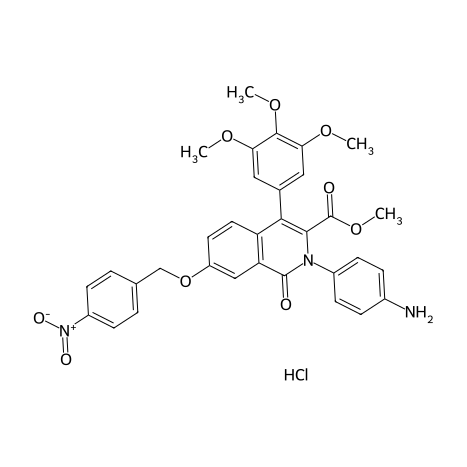 COC(=O)c1c(-c2cc(OC)c(OC)c(OC)c2)c2ccc(OCc3ccc([N+](=O)[O-])cc3)cc2c(=O)n1-c1ccc(N)cc1.Cl